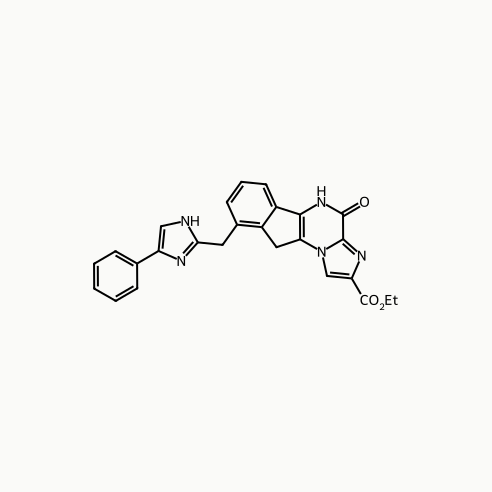 CCOC(=O)c1cn2c3c([nH]c(=O)c2n1)-c1cccc(Cc2nc(-c4ccccc4)c[nH]2)c1C3